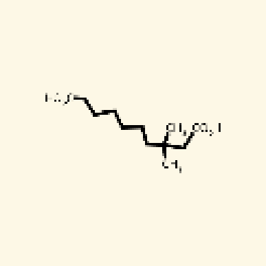 CC(C)(CCCCCCC(=O)O)CC(=O)O